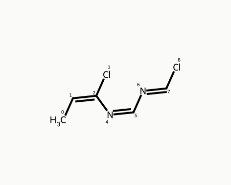 C\C=C(Cl)/N=C\N=C\Cl